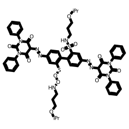 CC(C)OCCCNOOSc1cc(N=NC2C(=O)N(c3ccccc3)C(=O)N(c3ccccc3)C2=O)ccc1-c1ccc(N=NC2C(=O)N(c3ccccc3)C(=O)N(c3ccccc3)C2=O)cc1S(=O)(=O)NCCCOC(C)C